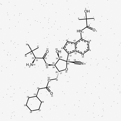 CC(C)(O)C(=O)Nc1ncnn2c([C@]3(C#N)O[C@H](COC(=O)CC4CCCCC4)[C@@H](OC(=O)[C@@H](N)C(C)(C)C)[C@H]3O)ccc12